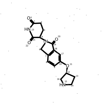 O=C1CCC(N2Cc3ccc(O[C@H]4CCNC4)cc3C2=O)C(=O)N1